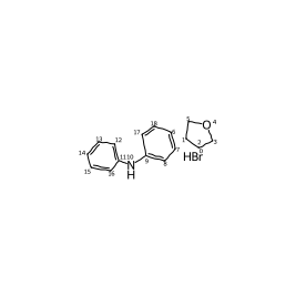 Br.C1CCOC1.c1ccc(Nc2ccccc2)cc1